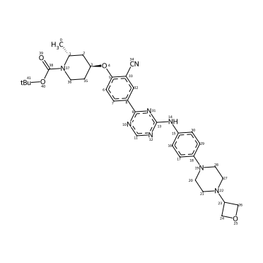 C[C@@H]1C[C@@H](Oc2ccc(-c3ncnc(Nc4ccc(N5CCN(C6COC6)CC5)cc4)n3)cc2C#N)CCN1C(=O)OC(C)(C)C